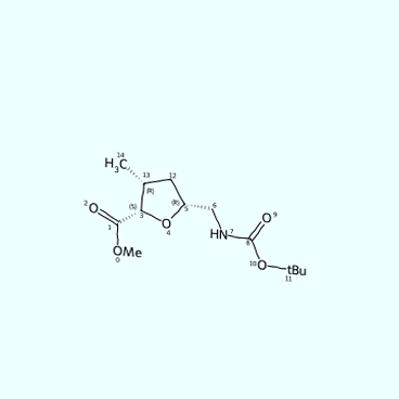 COC(=O)[C@H]1O[C@@H](CNC(=O)OC(C)(C)C)C[C@H]1C